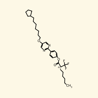 CCCCCC[C@H](C(=O)Oc1ccc(-c2ncc(OCCCCCCCC3CCCC3)cn2)cc1)C(F)(F)F